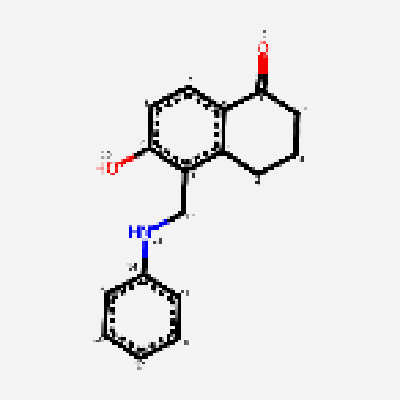 O=C1CCCc2c1ccc(O)c2CNc1ccccc1